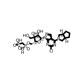 O=P(O)(O)CP(=O)(O)OC[C@H]1O[C@H](n2ncc3c(N4C[C@H]5CCC[C@H]5C4)nc(Cl)nc32)[C@H](O)[C@@]1(O)CO